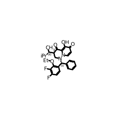 CCOc1c([C@H](c2ccccc2)N2CC([C@H](C)C(C)C)C(=O)c3c(O)c(=O)ccn32)ccc(F)c1F